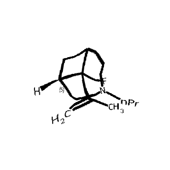 C=C(C)C1(F)C2C[C@H]1CN(CCC)C2